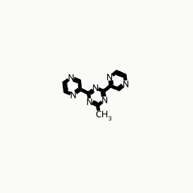 Cc1nc(-c2cnccn2)nc(-c2cnccn2)n1